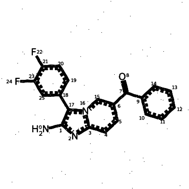 Nc1nc2ccc(C(=O)c3ccccc3)cn2c1-c1ccc(F)c(F)c1